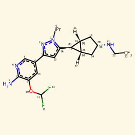 CC(C)n1nc(-c2cnc(N)c(OC(F)F)c2)cc1[C@H]1[C@@H]2C[C@H](NCC(F)(F)F)C[C@@H]21